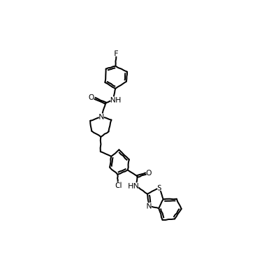 O=C(Nc1nc2ccccc2s1)c1ccc(CC2CCN(C(=O)Nc3ccc(F)cc3)CC2)cc1Cl